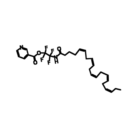 CC/C=C\C/C=C\C/C=C\C/C=C\C/C=C\CCCC(=O)NC(F)(F)C(F)(F)OC(=O)c1cccnc1